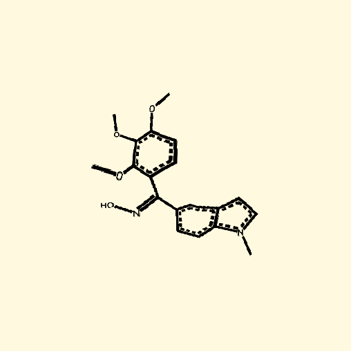 COc1ccc(/C(=N\O)c2ccc3c(ccn3C)c2)c(OC)c1OC